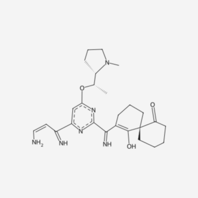 C[C@H](Oc1cc(C(=N)/C=C\N)nc(C(=N)C2=C(O)[C@]3(CCCCC3=O)CCC2)n1)[C@@H]1CCCN1C